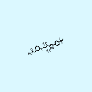 Cc1nn(-c2ccc(C(F)(F)F)cc2)cc1C(C)CCOc1cccc(CC(=O)O)c1